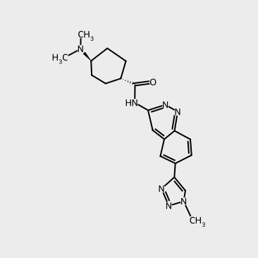 Cn1cc(-c2ccc3nnc(NC(=O)[C@H]4CC[C@H](N(C)C)CC4)cc3c2)nn1